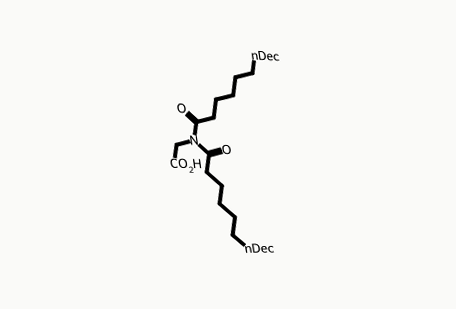 CCCCCCCCCCCCCCCC(=O)N(CC(=O)O)C(=O)CCCCCCCCCCCCCCC